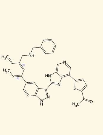 C=C/C(=C\C(=C/C)c1ccc2[nH]nc(-c3nc4c(-c5ccc(C(C)=O)s5)cncc4[nH]3)c2c1)CNCc1ccccc1